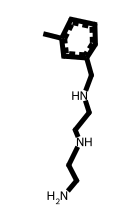 Cc1cccc(CNCCNCCN)c1